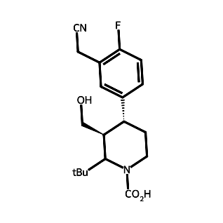 CC(C)(C)C1[C@@H](CO)[C@H](c2ccc(F)c(CC#N)c2)CCN1C(=O)O